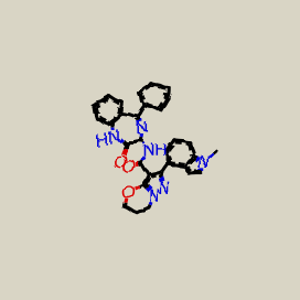 Cn1ccc2c(-c3nn4c(c3C(=O)N[C@H]3N=C(c5ccccc5)c5ccccc5NC3=O)OCCC4)cccc21